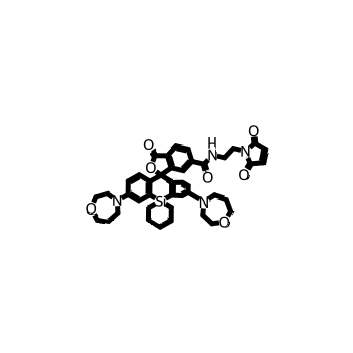 O=C(NCCN1C(=O)C=CC1=O)c1ccc2c(c1)C1(OC2=O)c2ccc(N3CCCOCC3)cc2[Si]2(CCCCC2)c2cc(N3CCCOCC3)ccc21